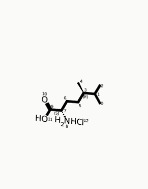 CC(C)[C@H](C)CC[C@H](N)C(=O)O.Cl